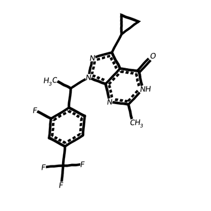 Cc1nc2c(c(C3CC3)nn2C(C)c2ccc(C(F)(F)F)cc2F)c(=O)[nH]1